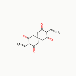 C=CC1C(=O)CC2(CC1=O)CC(=O)C(C=C)C(=O)C2